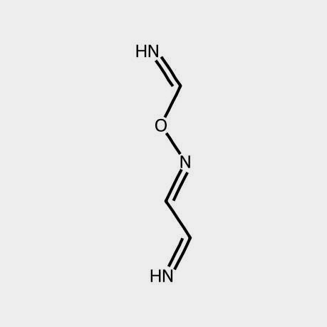 N=CC=NOC=N